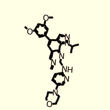 C=N/C=C1/C=C(c2cc(OC)cc(OC)c2)c2cnn(C(C)C)c2/C1=N/CNc1ccc(N2CCOCC2)cn1